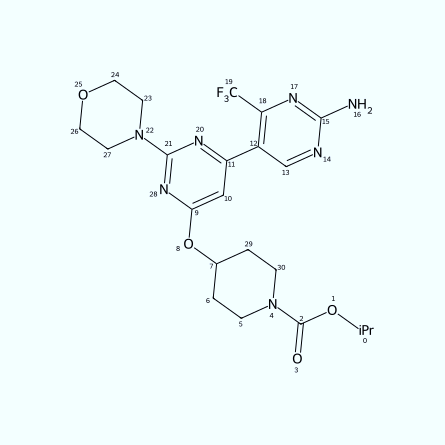 CC(C)OC(=O)N1CCC(Oc2cc(-c3cnc(N)nc3C(F)(F)F)nc(N3CCOCC3)n2)CC1